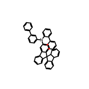 C1=CC2c3ccccc3C3(c4ccccc4-c4cc(N(c5cccc(-c6ccccc6)c5)c5ccccc5-c5ccccc5)ccc43)C2C=C1